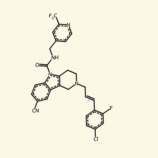 N#Cc1ccc2c(c1)c1c(n2C(=O)NCc2ccnc(C(F)(F)F)c2)CCN(C/C=C/c2ccc(Cl)cc2F)C1